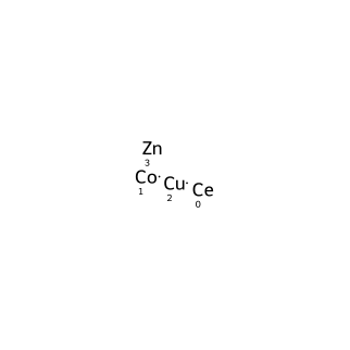 [Ce].[Co].[Cu].[Zn]